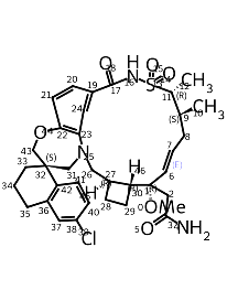 CO[C@@]1(CC(N)=O)/C=C/C[C@H](C)[C@@H](C)S(=O)(=O)NC(=O)c2ccc3c(c2)N(C[C@@H]2CC[C@H]21)C[C@@]1(CCCc2cc(Cl)ccc21)CO3